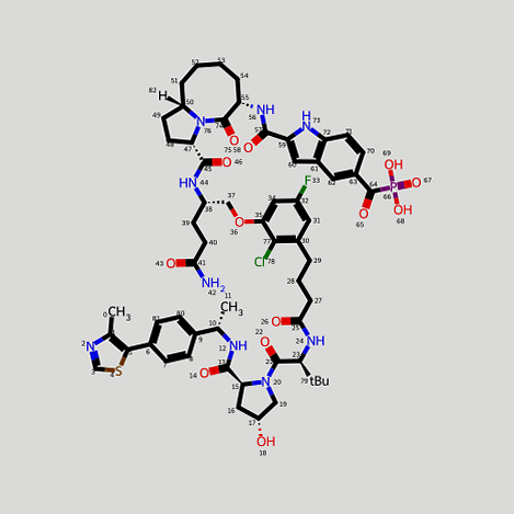 Cc1ncsc1-c1ccc([C@H](C)NC(=O)[C@@H]2C[C@@H](O)CN2C(=O)[C@@H](NC(=O)CCCc2cc(F)cc(OC[C@H](CCC(N)=O)NC(=O)[C@@H]3CC[C@@H]4CCCC[C@H](NC(=O)c5cc6cc(C(=O)P(=O)(O)O)ccc6[nH]5)C(=O)N43)c2Cl)C(C)(C)C)cc1